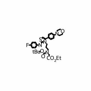 CCOC(=O)CN(CCCn1c(-c2ccc(N3CCOCC3)cc2)csc1=Nc1ccc(F)cc1)C(=O)OC(C)(C)C